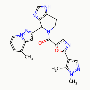 Cc1cccn2nc(C3c4nc[nH]c4CCN3C(=O)c3cnc(-c4cnn(C)c4C)o3)cc12